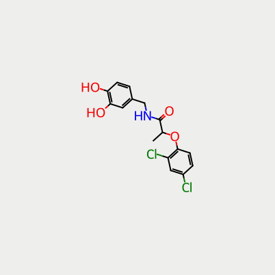 CC(Oc1ccc(Cl)cc1Cl)C(=O)NCc1ccc(O)c(O)c1